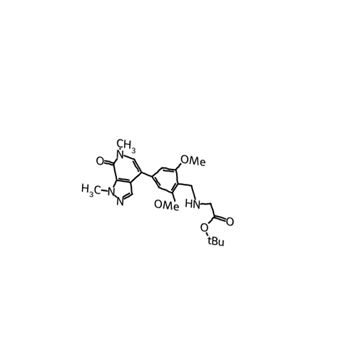 COc1cc(-c2cn(C)c(=O)c3c2cnn3C)cc(OC)c1CNCC(=O)OC(C)(C)C